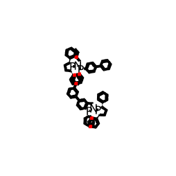 CCCCN(P(c1ccc(-c2ccccc2)cc1)c1ccc(-c2cccc(-c3ccc4c(c3)CN(P3[C@H](c5ccccc5)CC[C@H]3c3ccccc3)P4c3ccccc3)c2)cc1)P1[C@H](c2ccccc2)CC[C@H]1c1ccccc1